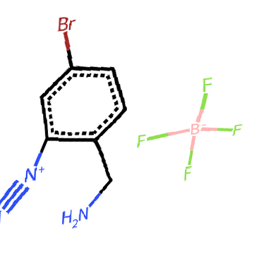 F[B-](F)(F)F.N#[N+]c1cc(Br)ccc1CN